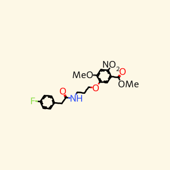 COC(=O)c1cc(OCCCNC(=O)Cc2ccc(F)cc2)c(OC)cc1[N+](=O)[O-]